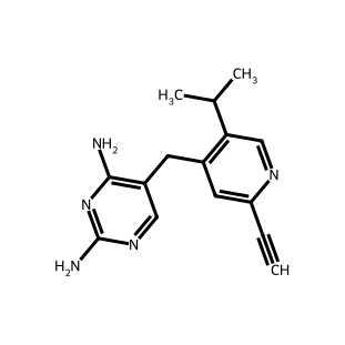 C#Cc1cc(Cc2cnc(N)nc2N)c(C(C)C)cn1